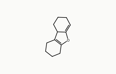 C1=C2OC3=C(CCCC3)C2CCC1